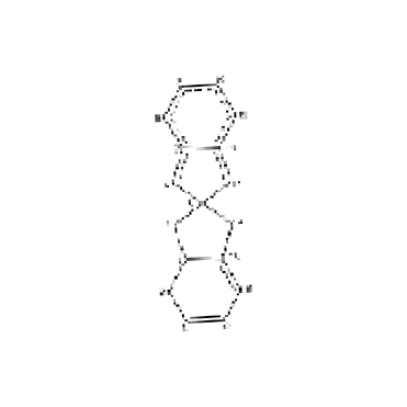 C1=CCC2CC3(C=c4ccccc4=C3)CC2=C1